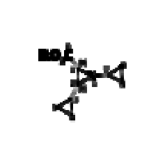 CCOC(=O)[C@H]1[C@@H](C2CC2)N1C1CC1